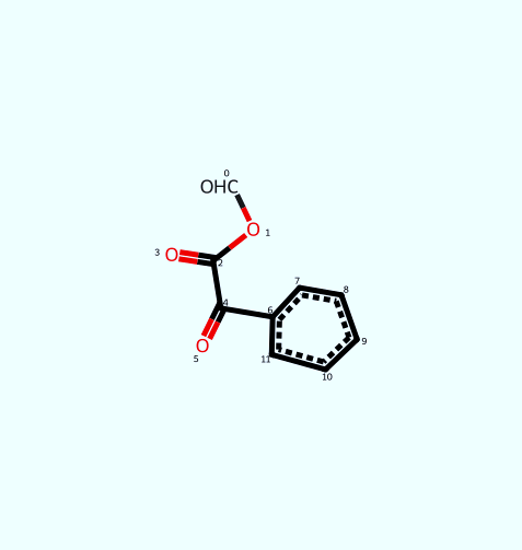 O=COC(=O)C(=O)c1ccccc1